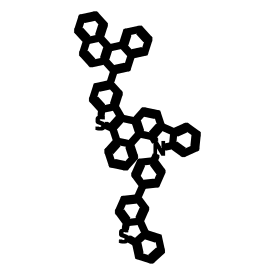 c1ccc2c(c1)ccc1c(-c3ccc4sc5c6ccccc6c6c(ccc7c8ccccc8n(-c8ccc(-c9ccc%10sc%11ccccc%11c%10c9)cc8)c76)c5c4c3)cc3ccccc3c12